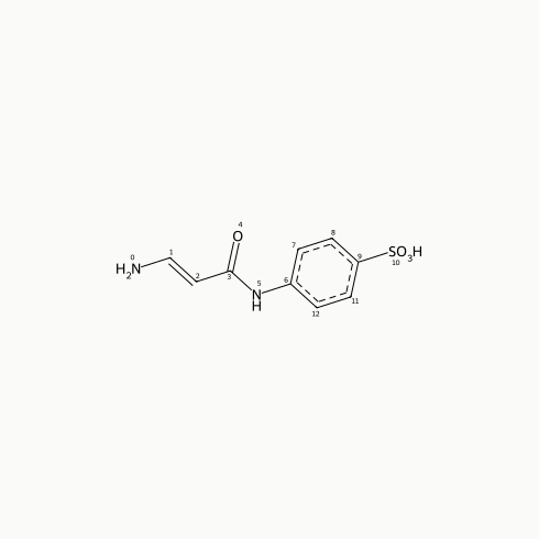 NC=CC(=O)Nc1ccc(S(=O)(=O)O)cc1